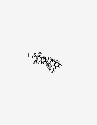 C[C@H](Nc1cc(Cl)cc(C(F)(F)F)c1)c1ncnn1-c1ccc(C(=O)N(C)C2CC2)cn1